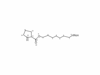 CCCCCCCCCCCCCCCCOC(=O)C1CCCN1